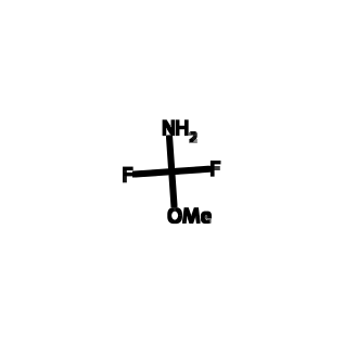 COC(N)(F)F